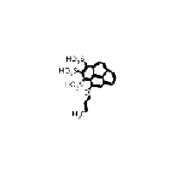 CC=CCOc1cc2cccc3ccc4c(S(=O)(=O)O)c(S(=O)(=O)O)c(S(=O)(=O)O)c1c4c32